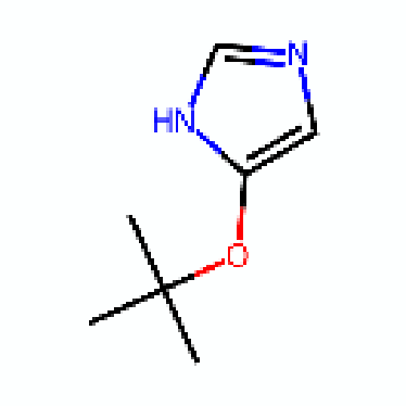 CC(C)(C)Oc1cnc[nH]1